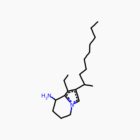 CCCCCCCCC(C)c1cn2c(c1CC)C(N)CCC2